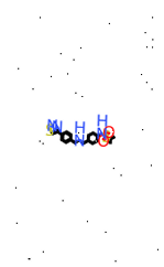 CC(C)S(=O)(=O)NC1CCC(CNCc2ccc(-c3csnn3)cc2)CC1